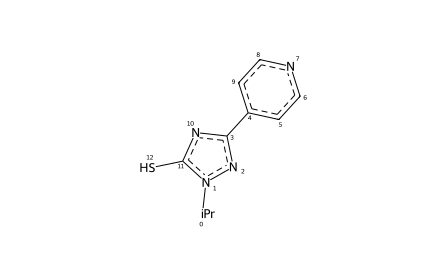 CC(C)n1nc(-c2ccncc2)nc1S